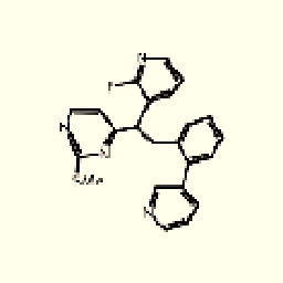 CSc1nccc(C(Cc2ccccc2-c2cccnc2)c2cccnc2F)n1